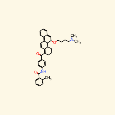 Cc1ccccc1C(=O)Nc1ccc(C(=O)C2=c3ccc4c(c3CCC2)C(OCCCCN(C)C)C=c2ccccc2=4)cc1